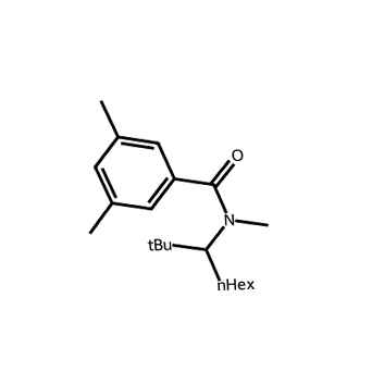 CCCCCCC(N(C)C(=O)c1cc(C)cc(C)c1)C(C)(C)C